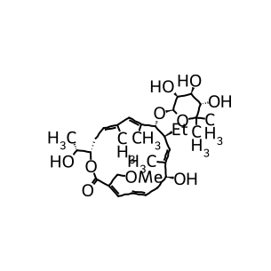 CC[C@H]1/C=C(\C)[C@@H](O)C/C=C/C=C(\COC)C(=O)O[C@H]([C@@H](C)O)C/C=C(C)/C=C(\C)[C@@H]1O[C@@H]1OC(C)(C)[C@@H](O)[C@H](O)[C@@H]1O